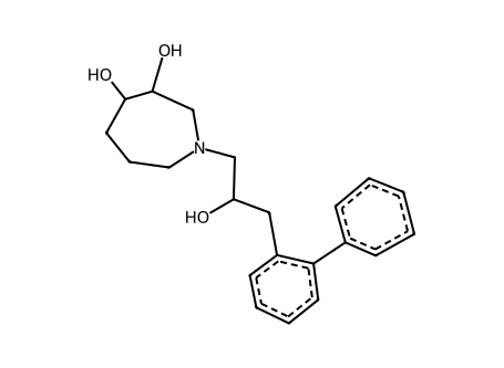 OC(Cc1ccccc1-c1ccccc1)CN1CCCC(O)C(O)C1